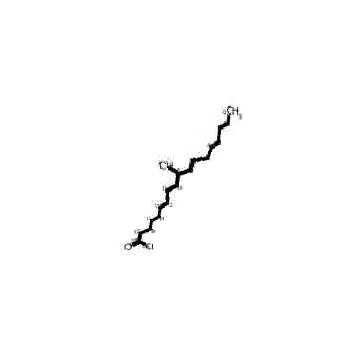 CCCCCCCCC(Cl)CCCCCCCCC(=O)Cl